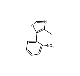 Cc1ncoc1-c1ccccc1[N+](=O)[O-]